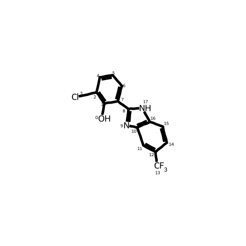 Oc1c(Cl)cccc1-c1nc2cc(C(F)(F)F)ccc2[nH]1